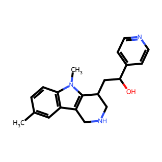 Cc1ccc2c(c1)c1c(n2C)C(CC(O)c2ccncc2)CNC1